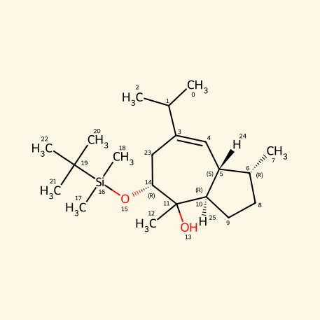 CC(C)C1=C[C@@H]2[C@H](C)CC[C@H]2C(C)(O)[C@H](O[Si](C)(C)C(C)(C)C)C1